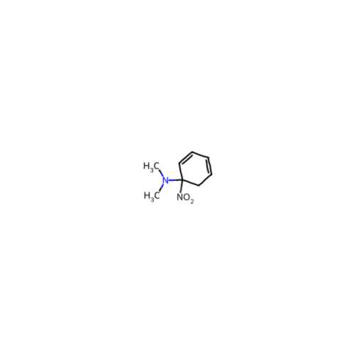 CN(C)C1([N+](=O)[O-])C=CC=CC1